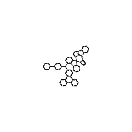 c1ccc(-c2ccc(C(c3ccc4c5ccccc5c5ccccc5c4c3)c3cccc4c3-c3ccccc3C43c4ccccc4-n4c5ccccc5c5cccc3c54)cc2)cc1